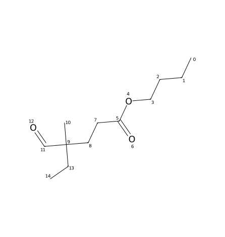 CCCCOC(=O)CCC(C)(C=O)CC